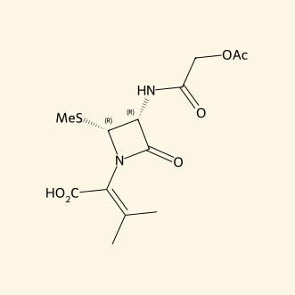 CS[C@@H]1[C@H](NC(=O)COC(C)=O)C(=O)N1C(C(=O)O)=C(C)C